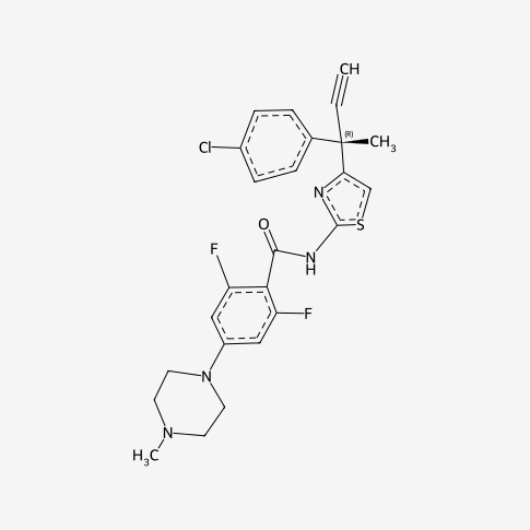 C#C[C@@](C)(c1ccc(Cl)cc1)c1csc(NC(=O)c2c(F)cc(N3CCN(C)CC3)cc2F)n1